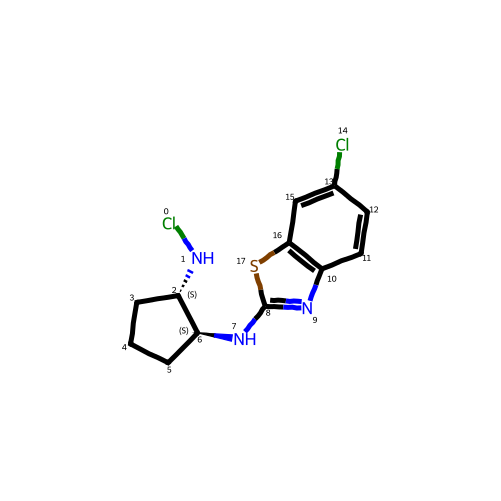 ClN[C@H]1CCC[C@@H]1Nc1nc2ccc(Cl)cc2s1